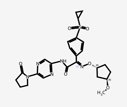 CO[C@@H]1CC[C@@H](O/N=C(/C(=O)Nc2cnc(N3CCCC3=O)cn2)c2ccc(S(=O)(=O)C3CC3)cc2)C1